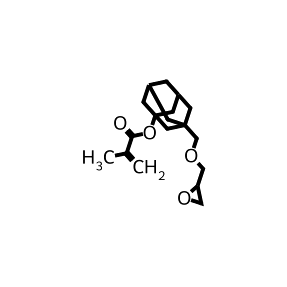 C=C(C)C(=O)OC12CC3CC(CC(COCC4CO4)(C3)C1)C2